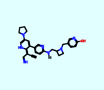 C#C/C(C=N)=C1/NC=C(N2CCCC2)C=C1c1ccc(N(CC)CC2CCN2Cc2ccc(O)nc2)nc1